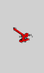 CCC(CC)COC(=O)[C@@H](C)NP(=O)(OC[C@H]1O[C@@](C#N)(c2ccc3c(N)ncnn23)[C@H](OC(=O)CCCCCCCCCCCN=[N+]=[N-])[C@@H]1O)Oc1ccccc1